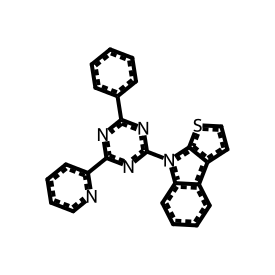 c1ccc(-c2nc(-c3ccccn3)nc(-n3c4ccccc4c4ccsc43)n2)cc1